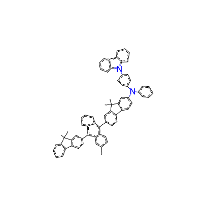 Cc1ccc2c(-c3ccc4c(c3)C(C)(C)c3cc(N(c5ccccc5)c5ccc(-n6c7ccccc7c7ccccc76)cc5)ccc3-4)c3ccccc3c(-c3ccc4c(c3)C(C)(C)c3ccccc3-4)c2c1